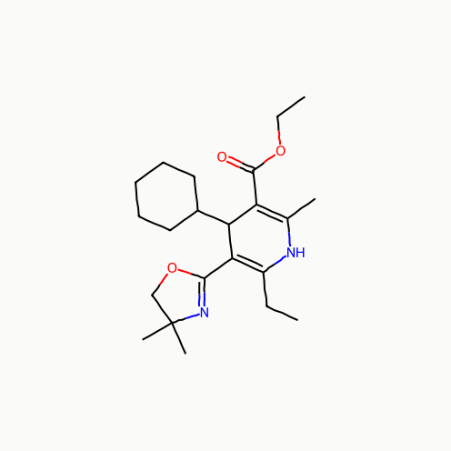 CCOC(=O)C1=C(C)NC(CC)=C(C2=NC(C)(C)CO2)C1C1CCCCC1